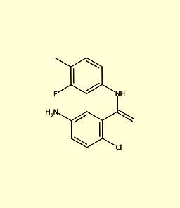 C=C(Nc1ccc(C)c(F)c1)c1cc(N)ccc1Cl